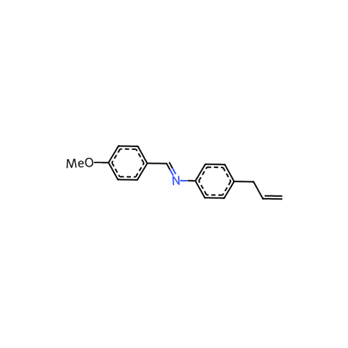 C=CCc1ccc(N=Cc2ccc(OC)cc2)cc1